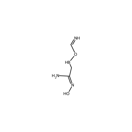 N=COBC/C(N)=N/O